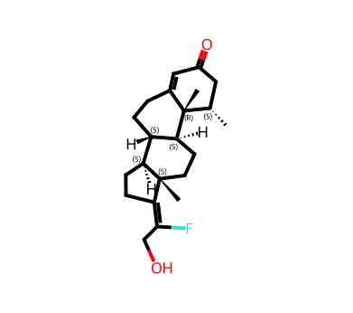 C[C@H]1CC(=O)C=C2CC[C@@H]3[C@H](CC[C@]4(C)C(=C(F)CO)CC[C@@H]34)[C@]21C